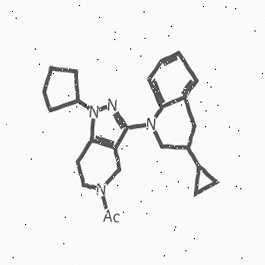 CC(=O)N1CCc2c(c(N3CC(C4CC4)Cc4ccccc43)nn2C2CCCC2)C1